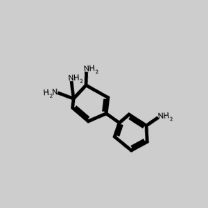 Nc1cccc(C2=CC(N)C(N)(N)C=C2)c1